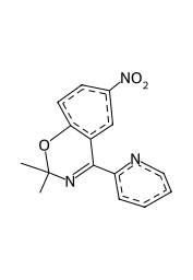 CC1(C)N=C(c2ccccn2)c2cc([N+](=O)[O-])ccc2O1